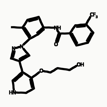 Cc1ccc(NC(=O)c2cccc(C(F)(F)F)c2)cc1-n1cc(C2=CNCC=C2OCCCO)cn1